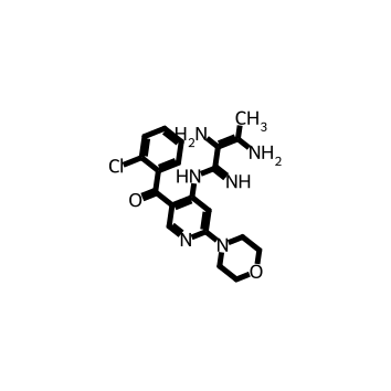 C/C(N)=C(\N)C(=N)Nc1cc(N2CCOCC2)ncc1C(=O)c1ccccc1Cl